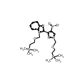 C[Si](C)(C)CCOCn1cc([N+](=O)[O-])c(-c2nc3ccccc3n2COCC[Si](C)(C)C)n1